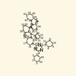 c1ccc(-c2nc(-c3ccccc3)nc(-c3ccc4c(c3)C3(c5ccccc5S4)c4ccccc4-c4cc5sc6ccccc6c5cc43)n2)cc1